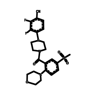 CS(=O)(=O)c1ccc(N2CCOCC2)c(C(=O)N2CCN(c3ccc(C#N)c(F)c3F)CC2)c1